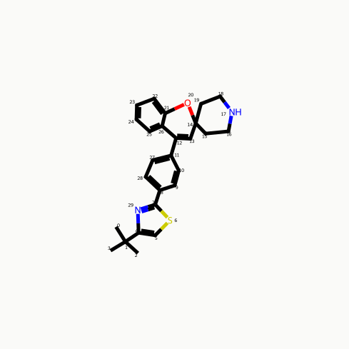 CC(C)(C)c1csc(-c2ccc(C3=CC4(CCNCC4)Oc4ccccc43)cc2)n1